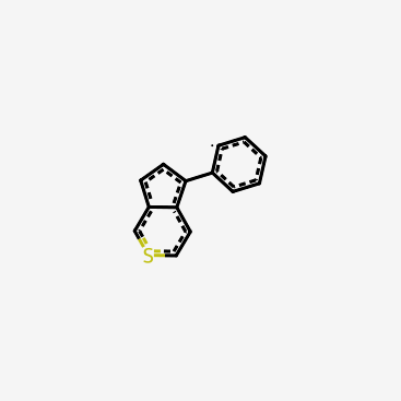 [c]1ccccc1-c1ccc2csccc1-2